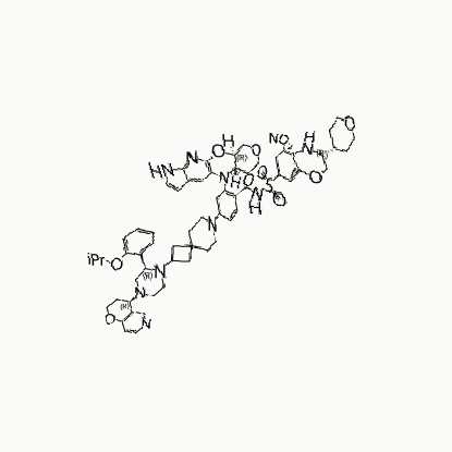 CC(C)Oc1ccccc1[C@@H]1CN([C@@H]2CCOc3ccncc32)CCN1C1CC2(CCN(c3ccc(C(=O)NS(=O)(=O)c4cc5c(c([N+](=O)[O-])c4)N[C@H](C4CCOCC4)CO5)c(N4c5cc6cc[nH]c6nc5O[C@H]5COCC[C@@H]54)c3)CC2)C1